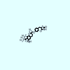 Cc1c2c(cc(O)c1C(C)(C)C)CCC(C)(COc1ccc(CC3SC(=O)NC3=O)cc1)O2